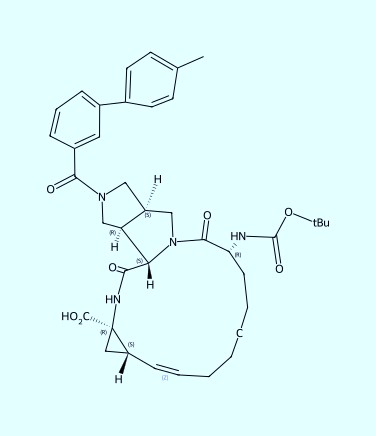 Cc1ccc(-c2cccc(C(=O)N3C[C@H]4CN5C(=O)[C@H](NC(=O)OC(C)(C)C)CCCCC/C=C\[C@@H]6C[C@@]6(C(=O)O)NC(=O)[C@@H]5[C@H]4C3)c2)cc1